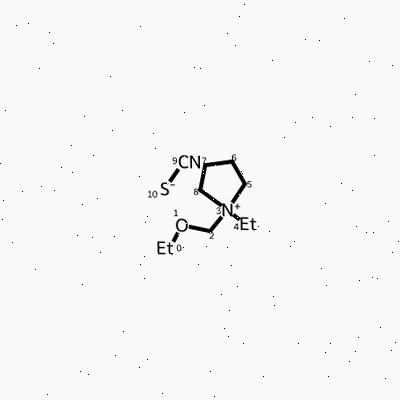 CCOC[N+]1(CC)CCCC1.N#C[S-]